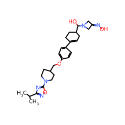 CC(C)c1noc(N2CCC(COc3ccc(C4=CCC(C(O)N5CC(=NO)C5)CC4)cc3)CC2)n1